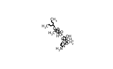 C=N[C@]1(C)[C@H](O)[C@@H](COP(=O)(O)N[C@@H](C)C(=O)OCC(CCC)CCC)O[C@H]1n1ccc(N)nc1=O